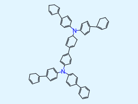 C1=CCCC(c2ccc(N(c3ccc(C4=CCC(N(c5ccc(C6=CCCC=C6)cc5)c5ccc(C6=CC=CCC6)cc5)C=C4)cc3)c3ccc(-c4ccccc4)cc3)cc2)=C1